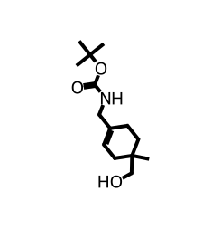 CC1(CO)CC=C(CNC(=O)OC(C)(C)C)CC1